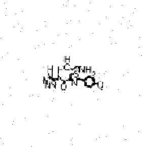 COc1ccc(-c2nc(C(=O)Nc3nnn[nH]3)cs2)cc1.NCCO